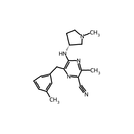 Cc1cccc(Cc2nc(C#N)c(C)nc2N[C@@H]2CCN(C)C2)c1